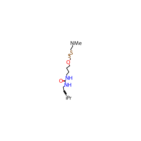 CNCCSSCOCCCCNC(=O)NCC#CC(C)C